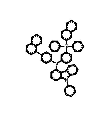 c1ccc(-n2c3ccccc3c3c(N(c4ccc(-c5cccc6ccccc56)cc4)c4cccc([Si](c5ccccc5)(c5ccccc5)c5ccc6ccccc6c5)c4)cccc32)cc1